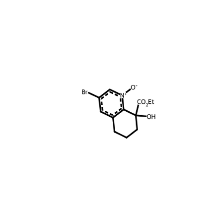 CCOC(=O)C1(O)CCCc2cc(Br)c[n+]([O-])c21